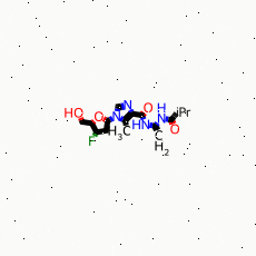 C=C(NC(=O)c1ncn(C2CC(F)C(CO)O2)c1C)NC(=O)C(C)C